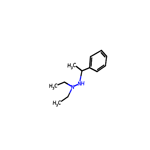 CCN(CC)NC(C)c1ccccc1